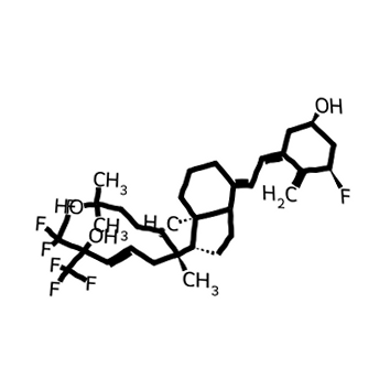 C=C1/C(=C\C=C2CCC[C@@]3(C)C2CC[C@@H]3[C@](C)(C/C=C/C(O)(C(F)(F)F)C(F)(F)F)CCCC(C)(C)O)C[C@@H](O)C[C@H]1F